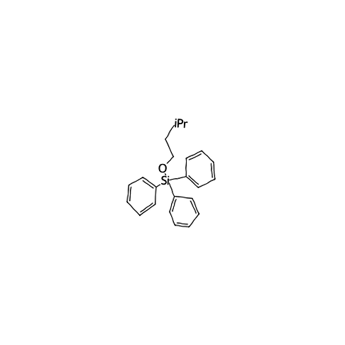 CC(C)CCO[Si](c1ccccc1)(c1ccccc1)c1ccccc1